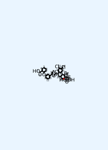 O=C(O)c1ccccc1Oc1cccc(-c2cnc(N(Cc3ccc(C(F)(F)P(=O)(O)O)c(Br)c3)c3ccc(Cl)c(Cl)c3)o2)c1